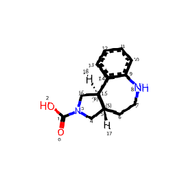 O=C(O)N1C[C@H]2CCNc3ccccc3[C@@H]2C1